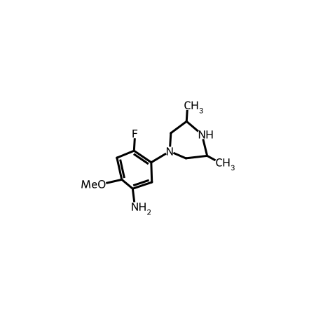 COc1cc(F)c(N2CC(C)NC(C)C2)cc1N